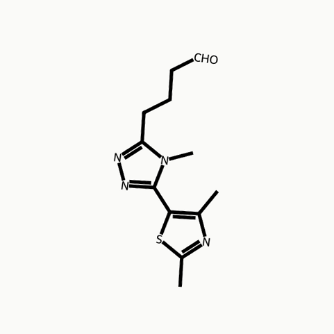 Cc1nc(C)c(-c2nnc(CCCC=O)n2C)s1